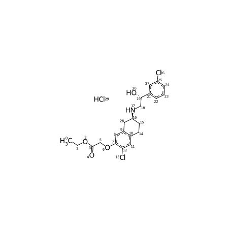 CCOC(=O)COc1cc2c(cc1Cl)CC[C@H](NC[C@H](O)c1cccc(Cl)c1)C2.Cl